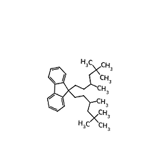 CC(CCC1(CCC(C)CC(C)(C)C)c2ccccc2-c2ccccc21)CC(C)(C)C